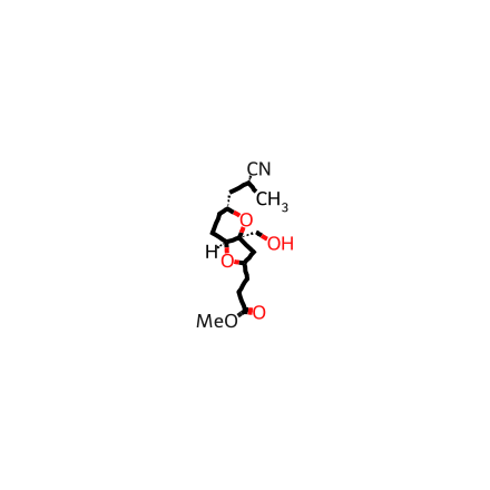 COC(=O)CCC1C[C@]2(CO)O[C@@H](C[C@@H](C)C#N)CC[C@@H]2O1